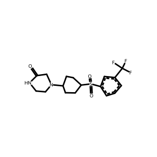 O=C1CN(C2CCC(S(=O)(=O)c3cccc(C(F)(F)F)c3)CC2)CCN1